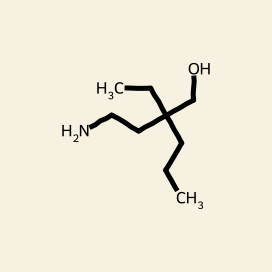 CCCC(CC)(CO)CCN